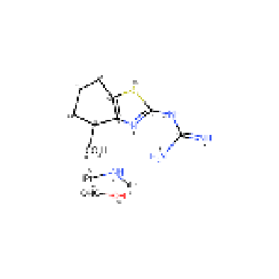 CC(C)NC(C)C.N=C(N)Nc1nc2c(s1)CCCC2C(=O)O.O=CO